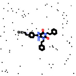 O=C/C=C/c1ccc(-c2nc3c(=O)n(CCc4ccccc4)c(=O)n(CCc4ccccc4)c3[nH]2)cc1